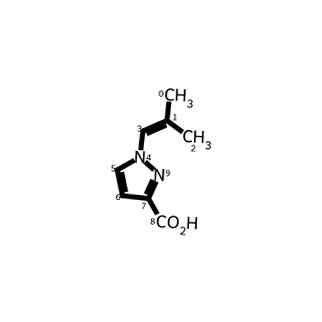 CC(C)=Cn1ccc(C(=O)O)n1